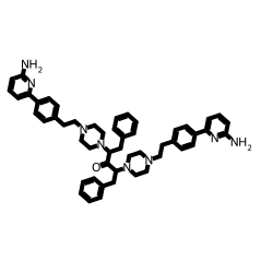 Nc1cccc(-c2ccc(CCN3CCN(C(Cc4ccccc4)C(=O)C(Cc4ccccc4)N4CCN(CCc5ccc(-c6cccc(N)n6)cc5)CC4)CC3)cc2)n1